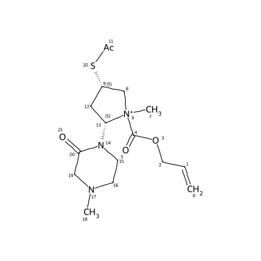 C=CCOC(=O)[N+]1(C)C[C@@H](SC(C)=O)C[C@H]1N1CCN(C)CC1=O